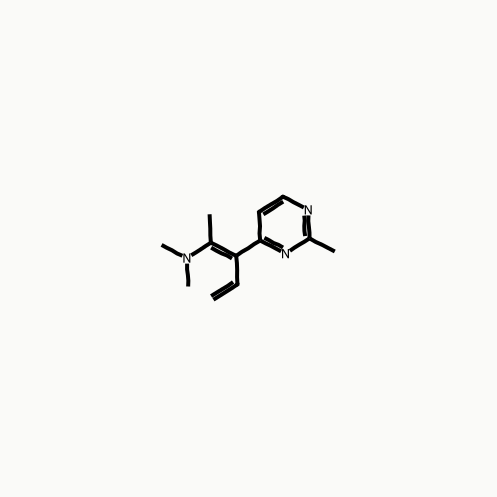 C=C/C(=C(/C)N(C)C)c1ccnc(C)n1